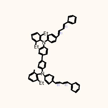 CCc1cccc(C)c1N(c1ccc(/C=C/C=C/c2ccccc2)cc1)c1ccc(-c2ccc(N(c3ccc(/C=C/C=C/c4ccccc4)cc3)c3c(CC)cccc3CC)cc2)cc1